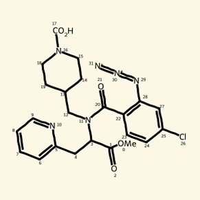 COC(=O)C(Cc1ccccn1)N(CC1CCN(C(=O)O)CC1)C(=O)c1ccc(Cl)cc1N=[N+]=[N-]